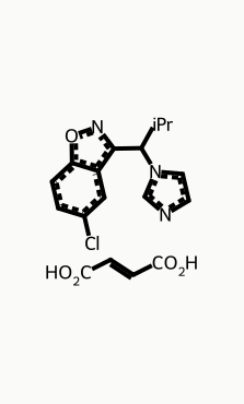 CC(C)C(c1noc2ccc(Cl)cc12)n1ccnc1.O=C(O)C=CC(=O)O